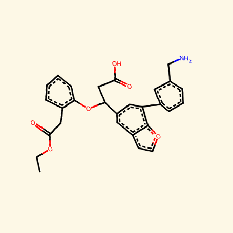 CCOC(=O)Cc1ccccc1OC(CC(=O)O)c1cc(-c2cccc(CN)c2)c2occc2c1